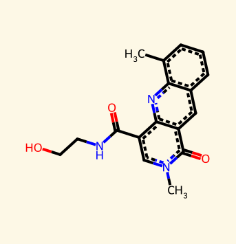 Cc1cccc2cc3c(=O)n(C)cc(C(=O)NCCO)c3nc12